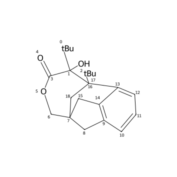 CC(C)(C)C1(O)C(=O)OCC23Cc4cccc(c4C2)C1(C(C)(C)C)C3